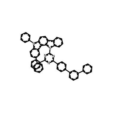 c1ccc(-c2cccc(-c3ccc(-c4nc(-c5ccccc5)nc(-n5c6ccccc6c6ccc7c(c8cc(-c9ccccc9)ccc8n7-c7ccccc7)c65)n4)cc3)c2)cc1